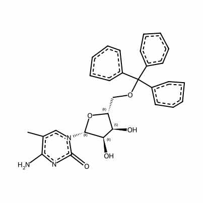 Cc1cn([C@@H]2O[C@H](COC(c3ccccc3)(c3ccccc3)c3ccccc3)[C@@H](O)[C@H]2O)c(=O)nc1N